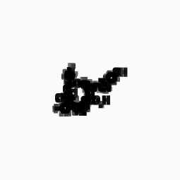 Cc1c(Cl)c2c(Cl)c(C)c1-c1c(-c3ccc(F)cc3)sc3ncnc(c13)O[C@@H](C(=O)O)Cc1cc(ccc1OCc1ccnc([C@H]3CC[C@H](O)CC3)n1)OCC(CN1CCN(C)CC1)O2